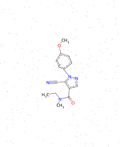 CCN(C)C(=O)c1cnn(-c2ccc(OC)cc2)c1C#N